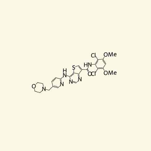 COc1cc(OC)c(Cl)c(NC(=O)c2csc3c(Nc4ccc(CN5CCOCC5)cn4)ncnc23)c1Cl